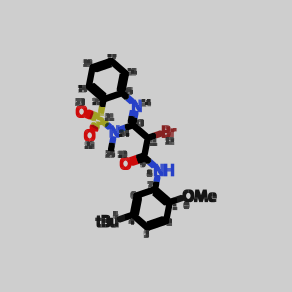 COc1ccc(C(C)(C)C)cc1NC(=O)C(Br)C1=Nc2ccccc2S(=O)(=O)N1C